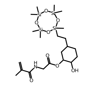 C=C(C)C(=O)NCC(=O)OC1CC(CC[Si]2(C)O[Si](C)(C)O[Si](C)(C)O[Si](C)(C)O2)CCC1O